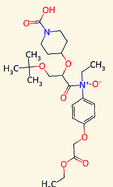 CCOC(=O)COc1ccc([N+]([O-])(CC)C(=O)C(COC(C)(C)C)OC2CCN(C(=O)O)CC2)cc1